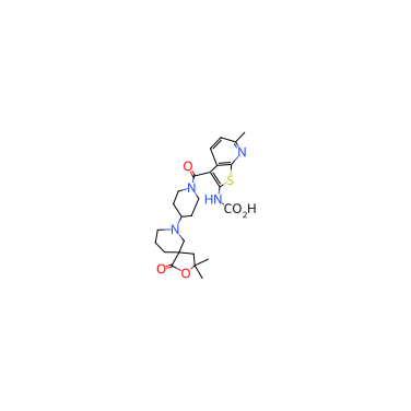 Cc1ccc2c(C(=O)N3CCC(N4CCCC5(C4)CC(C)(C)OC5=O)CC3)c(NC(=O)O)sc2n1